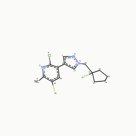 N#Cc1nc(Cl)c(-c2cnn(CC3(F)CCCC3)c2)cc1F